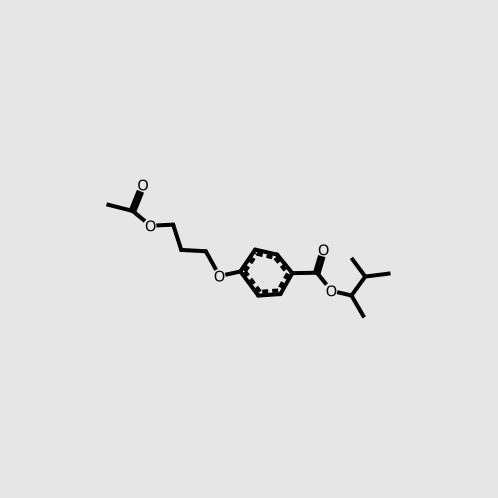 CC(=O)OCCCOc1ccc(C(=O)OC(C)C(C)C)cc1